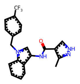 Cc1n[nH]cc1C(=O)Nc1cn(Cc2ccc(C(F)(F)F)cc2)c2ccccc12